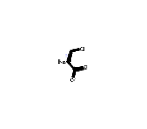 O=C([O-])/C=C\Cl.[Na+]